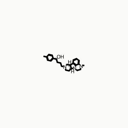 Cc1ccc([C@@H](O)CCCN2CC[C@H]3[C@@H](C2)c2cccc4c2N3CCN4C)cc1